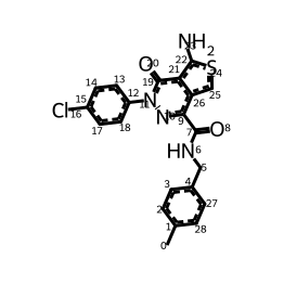 Cc1ccc(CNC(=O)c2nn(-c3ccc(Cl)cc3)c(=O)c3c(N)scc23)cc1